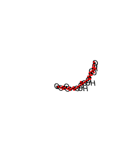 O=C(OC1CCC(c2ccc(OCC(O)COc3cccc(OCC(O)COc4ccc(C5CCC(OC(=O)c6ccc(OC[C@H]7CO7)cc6)CC5)cc4)c3)cc2)CC1)C1=CC(I)C(OCC2CO2)C=C1